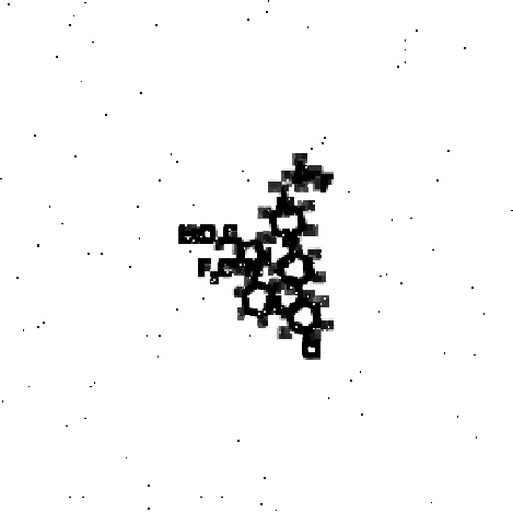 CCOC(=O)c1cnn(C2CCCN(c3cc(Cl)ccc3-c3ccc(N4CCN(C[C@@H]5C[C@@H]5F)CC4)cc3)C2)c1C(F)(F)F